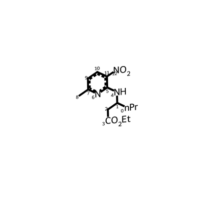 CCCC(CC(=O)OCC)Nc1nc(C)ccc1[N+](=O)[O-]